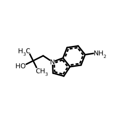 CC(C)(O)Cn1ccc2cc(N)ccc21